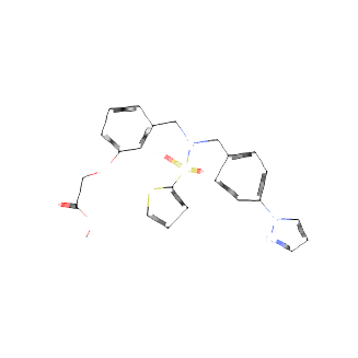 CC(C)(C)OC(=O)COc1cccc(CN(Cc2ccc(-n3cccn3)cc2)S(=O)(=O)c2cccs2)c1